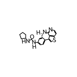 Nc1nccc2scc(-c3ccc(NC(=O)NC4CCCC4)cc3)c12